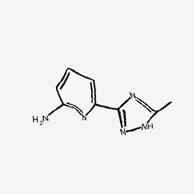 Cc1nc(-c2cccc(N)n2)n[nH]1